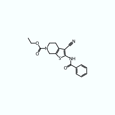 CCOC(=O)N1CCc2c(sc(NC(=O)c3ccccc3)c2C#N)C1